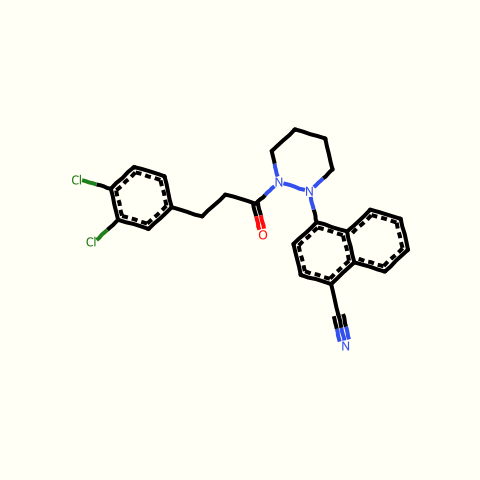 N#Cc1ccc(N2CCCCN2C(=O)CCc2ccc(Cl)c(Cl)c2)c2ccccc12